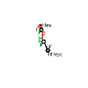 CCCCCCCc1ccc(C#Cc2ccc(C(F)CCOc3ccc(OCCCCCC)c(F)c3F)c(F)c2F)c(F)c1